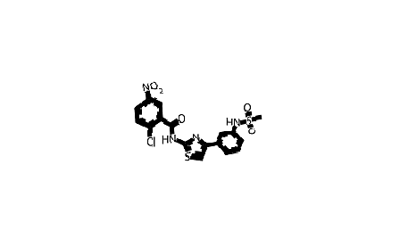 CS(=O)(=O)Nc1cccc(-c2csc(NC(=O)c3cc([N+](=O)[O-])ccc3Cl)n2)c1